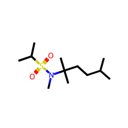 CC(C)CCC(C)(C)N(C)S(=O)(=O)C(C)C